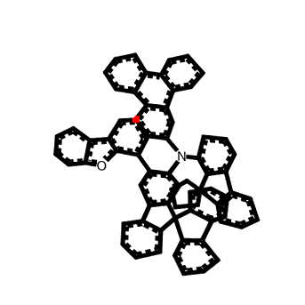 c1ccc2c(c1)-c1cccc(N(c3ccc4c5ccccc5c5ccccc5c4c3)c3cc4c(cc3-c3cccc5c3oc3ccccc35)-c3ccccc3C43c4ccccc4-c4ccccc43)c1C21CCCC1